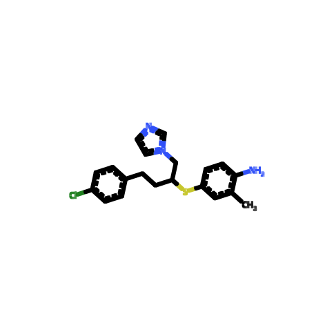 Cc1cc(SC(CCc2ccc(Cl)cc2)Cn2ccnc2)ccc1N